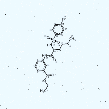 CCOC(=O)c1cccc(NC(=O)C(CCSC)NS(=O)(=O)c2ccc(Br)cc2)c1